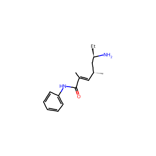 CC[C@@H](N)C[C@H](C)/C=C(\C)C(=O)Nc1ccccc1